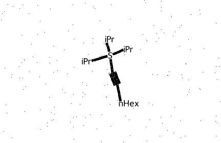 CCCCCCC#CS(C(C)C)(C(C)C)C(C)C